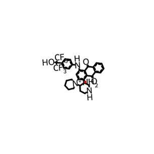 Nc1c([N+]2(C3CCNCC3)CCCCC2)cc(Nc2ccc(C(O)(C(F)(F)F)C(F)(F)F)cc2)c2c1C(=O)c1ccccc1C2=O